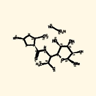 CCC[C@@H]1C[C@@H](C(=O)N[C@@H]([C@H]2O[C@H](SC)[C@H](O)[C@@H](O)[C@H]2O)[C@H](C)Cl)N(C)C1.O=S(=O)(O)O